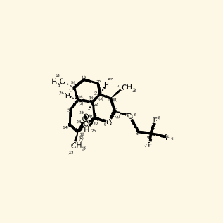 C[C@H]1[C@@H](OCC(F)(F)F)O[C@@H]2O[C@@]3(C)CC[C@H]4[C@H](C)CC[C@@H]1[C@@]24OO3